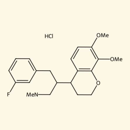 CNCC(Cc1cccc(F)c1)C1CCOc2c1ccc(OC)c2OC.Cl